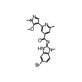 COc1c(-c2cc(C(=O)/N=c3\[nH]c4cc(Br)ccc4n3C)cc(C)n2)cnn1C